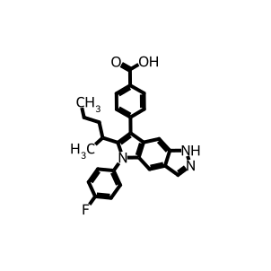 CCCC(C)c1c(-c2ccc(C(=O)O)cc2)c2cc3[nH]ncc3cc2n1-c1ccc(F)cc1